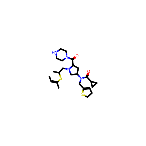 C/C=C(/C)SC(C)CN1CC(N(CC2=CCCS2)C(=O)C2CC2)CC1C(=O)N1CCNCC1